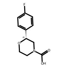 O=C(O)N1CCO[C@H](c2ccc(F)cc2)C1